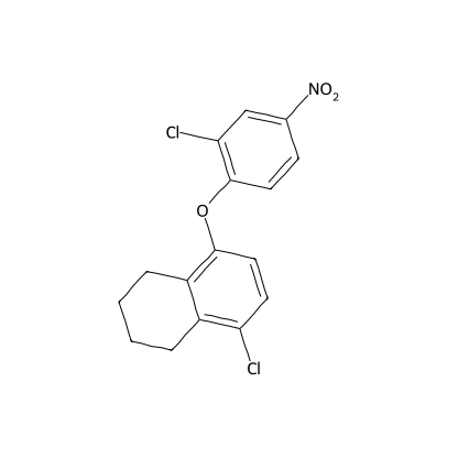 O=[N+]([O-])c1ccc(Oc2ccc(Cl)c3c2CCCC3)c(Cl)c1